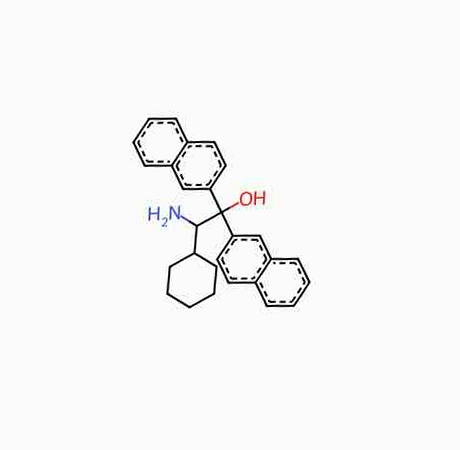 NC(C1CCCCC1)C(O)(c1ccc2ccccc2c1)c1ccc2ccccc2c1